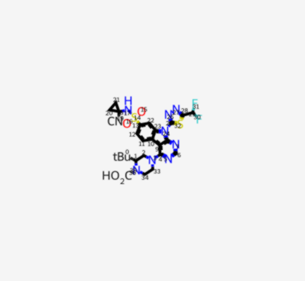 CC(C)(C)C1CN(c2ncnc3c2c2ccc(S(=O)(=O)NC4(C#N)CC4)cc2n3-c2nnc(C(F)F)s2)CCN1C(=O)O